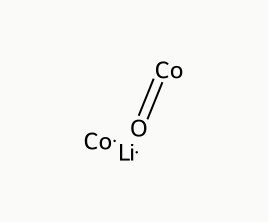 [Co].[Li].[O]=[Co]